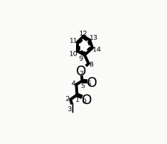 O=C(CI)CC(=O)OCc1ccccc1